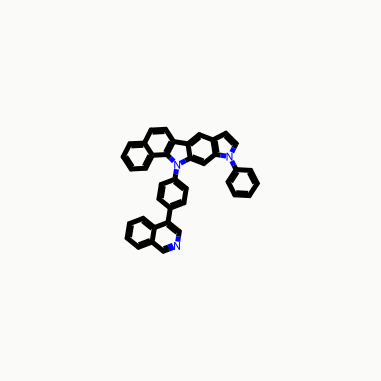 c1ccc(-n2ccc3cc4c5ccc6ccccc6c5n(-c5ccc(-c6cncc7ccccc67)cc5)c4cc32)cc1